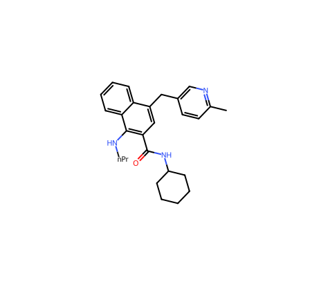 CCCNc1c(C(=O)NC2CCCCC2)cc(Cc2ccc(C)nc2)c2ccccc12